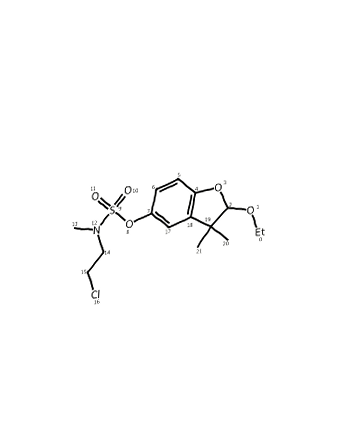 CCOC1Oc2ccc(OS(=O)(=O)N(C)CCCl)cc2C1(C)C